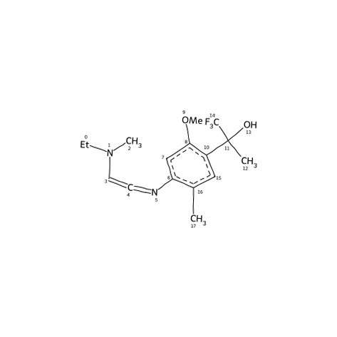 CCN(C)C=C=Nc1cc(OC)c(C(C)(O)C(F)(F)F)cc1C